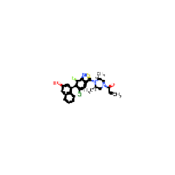 C=CC(=O)N1C[C@H](C)N(c2snc3c(F)c(-c4cc(O)cc5ccccc45)c(Cl)cc23)[C@@H](C)C1